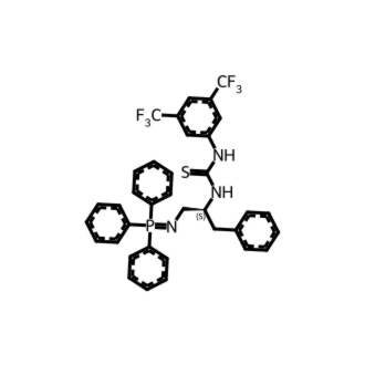 FC(F)(F)c1cc(NC(=S)N[C@H](CN=P(c2ccccc2)(c2ccccc2)c2ccccc2)Cc2ccccc2)cc(C(F)(F)F)c1